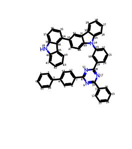 c1ccc(-c2ccc(-c3nc(-c4ccccc4)nc(-c4cccc(-n5c6ccccc6c6cc(-c7cccc8[nH]c9ccccc9c78)ccc65)c4)n3)cc2)cc1